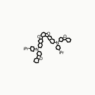 CC(C)c1ccc(N(c2ccc3cc4c(cc3c2)oc2ccc3oc5cc6cc(N(c7ccc(C(C)C)cc7)c7ccc8oc9ccccc9c8c7)ccc6cc5c3c24)c2ccc3oc4ccccc4c3c2)cc1